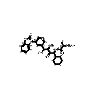 CCC(C(=N)C(=O)C(NC(=O)C(C)NC)C1CCCCC1)c1cncc(-n2c(=O)oc3ccccc32)c1